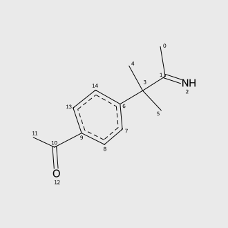 CC(=N)C(C)(C)c1ccc(C(C)=O)cc1